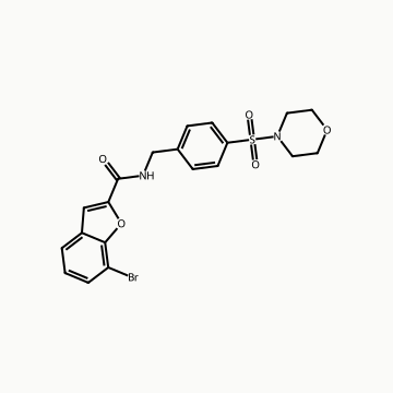 O=C(NCc1ccc(S(=O)(=O)N2CCOCC2)cc1)c1cc2cccc(Br)c2o1